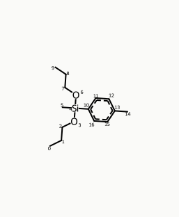 CCCO[Si](C)(OCCC)c1ccc(C)cc1